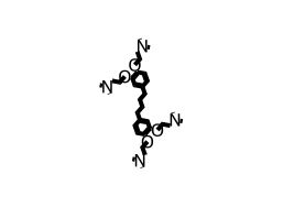 CN(C)CCOc1ccc(CCCCc2ccc(OCCN(C)C)c(OCCN(C)C)c2)cc1OCCN(C)C